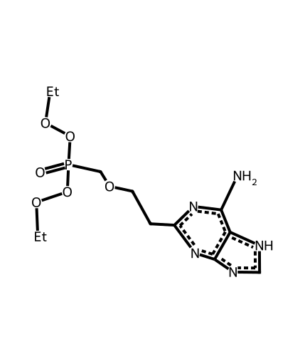 CCOOP(=O)(COCCc1nc(N)c2[nH]cnc2n1)OOCC